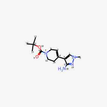 Cn1cc(C2=CCN(C(=O)OC(C)(C)C)CC2)c(N)n1